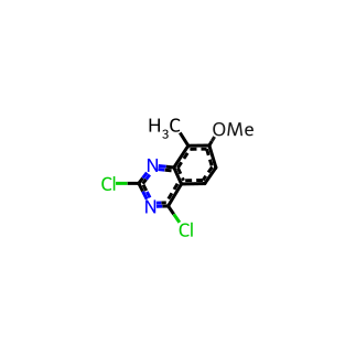 COc1ccc2c(Cl)nc(Cl)nc2c1C